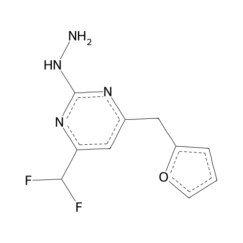 NNc1nc(Cc2ccco2)cc(C(F)F)n1